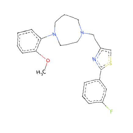 COc1ccccc1N1CCCN(Cc2csc(-c3cccc(F)c3)n2)CC1